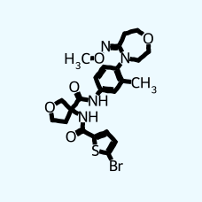 CON=C1CCOCCN1c1ccc(NC(=O)C2(NC(=O)c3ccc(Br)s3)CCOC2)cc1C